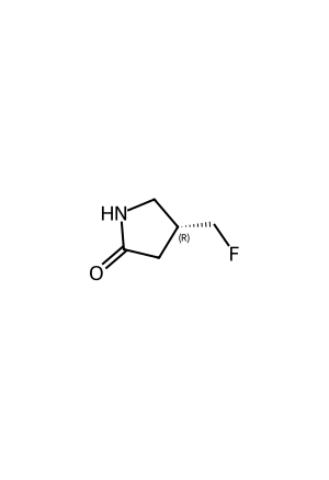 O=C1C[C@@H](CF)CN1